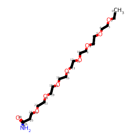 CCOCCOCCOCCOCCOCCOCCOCCOCCC(N)=O